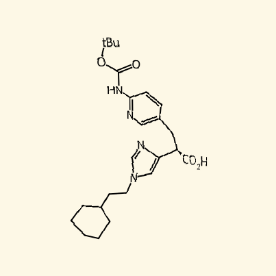 CC(C)(C)OC(=O)Nc1ccc(C[C@@H](C(=O)O)c2cn(CCC3CCCCC3)cn2)cn1